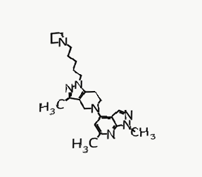 Cc1cc(N2CCc3c(c(C)nn3CCCCCN3CCC3)C2)c2cnn(C)c2n1